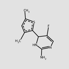 Cc1cc(C)c(C2NC(N)=NC=C2F)s1